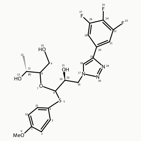 COc1ccc(SC(OC(CO)[C@@H](C)O)[C@@H](O)Cn2cc(-c3cc(F)c(F)c(F)c3)nn2)cc1